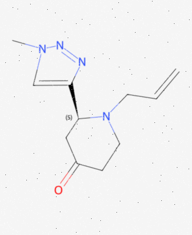 C=CCN1CCC(=O)C[C@H]1c1cn(C)nn1